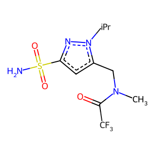 CC(C)n1nc(S(N)(=O)=O)cc1CN(C)C(=O)C(F)(F)F